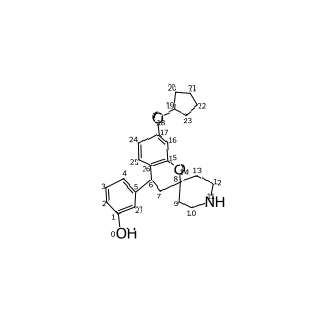 Oc1cccc(C2CC3(CCNCC3)Oc3cc(OC4CCCC4)ccc32)c1